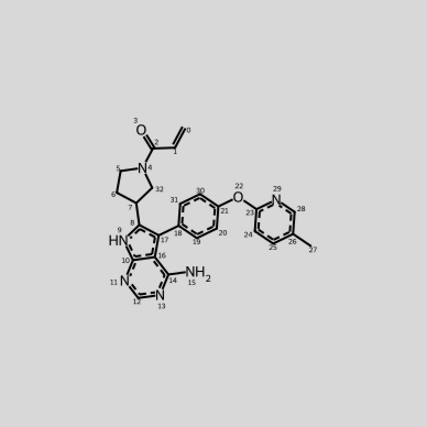 C=CC(=O)N1CCC(c2[nH]c3ncnc(N)c3c2-c2ccc(Oc3ccc(C)cn3)cc2)C1